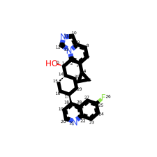 O[C@H](c1c(C2CC2)ccc2cncn12)[C@H]1CC[C@H](c2ccnc3ccc(F)cc32)CC1